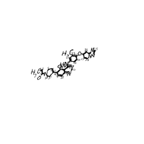 C=CC(=O)N1CC=C(c2ccc3ncnc(Nc4ccc(Oc5ccn6ncnc6c5)c(C)c4)c3c2OC)CC1